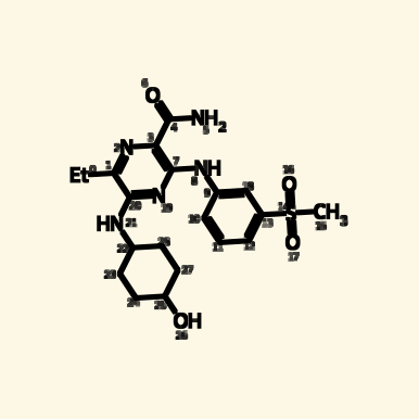 CCc1nc(C(N)=O)c(Nc2cccc(S(C)(=O)=O)c2)nc1NC1CCC(O)CC1